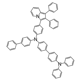 c1ccc(-c2ccc(N(c3ccc(-c4ccc(N(c5ccccc5)c5ccccc5)cc4)cc3)c3ccc(-c4c(-c5ccccc5)c(-c5ccccc5)c5ccccn45)cc3)cc2)cc1